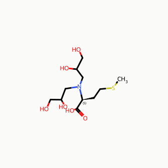 CSCC[C@@H](C(=O)O)N(CC(O)CO)CC(O)CO